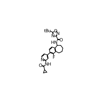 CC(C)(C)c1nc(C(=O)NC2CCCCc3c2ccc(-c2ccnc(NC(=O)C4CC4)c2)c3F)no1